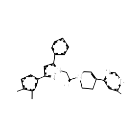 Cc1cc(C2=CCN(C(=O)Cn3nc(-c4ccc(F)c(C)c4)cc3-c3ccccc3)CC2)ncn1